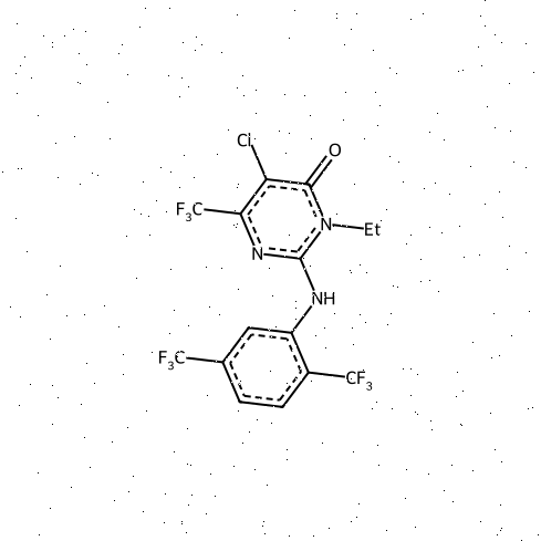 CCn1c(Nc2cc(C(F)(F)F)ccc2C(F)(F)F)nc(C(F)(F)F)c(Cl)c1=O